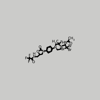 CC(=O)NC(N1CCN(c2ccc(N3CC(CNC(=O)C(F)(F)F)OC3=O)cc2)CC1(C)F)C(Br)(Br)Br